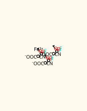 N#CC1(c2ccc(OC(F)F)c(OCC3CC3)c2)CCC(C(=O)[O-])CC1.N#CC1(c2ccc(OC(F)F)c(OCC3CC3)c2)CCC(C(=O)[O-])CC1.N#CC1(c2ccc(OC(F)F)c(OCC3CC3)c2)CCC(C(=O)[O-])CC1.[Fe+3]